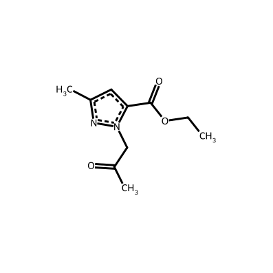 CCOC(=O)c1cc(C)nn1CC(C)=O